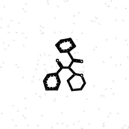 O=C(c1ccccc1)C(C(=O)c1ccccc1)C1CCCCO1